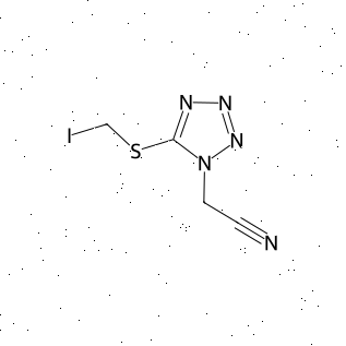 N#CCn1nnnc1SCI